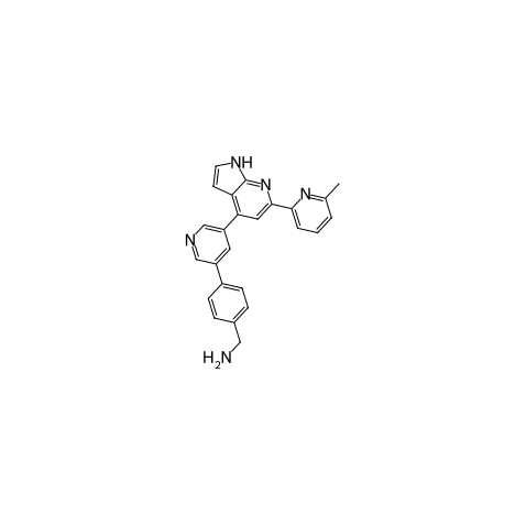 Cc1cccc(-c2cc(-c3cncc(-c4ccc(CN)cc4)c3)c3cc[nH]c3n2)n1